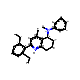 CCc1cccc(CC)c1-c1cc(C)c2c(n1)CCCC2N(C)c1ccccc1